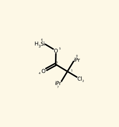 CC(C)C(Cl)(C(=O)O[SiH3])C(C)C